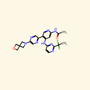 CC(=O)Nc1cc(Nc2ccnc(C(C)(F)F)n2)c(-c2cnc(N3CC4(COC4)C3)cn2)cn1